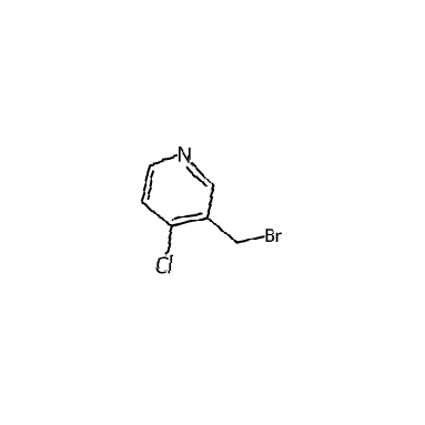 Clc1ccncc1CBr